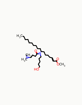 CCCCCCCCCCC(CCCCC=CC(=O)OC)N(CCCCCO)C(=O)CCCN(C)C